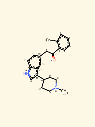 CC(C)c1ccccc1C(=O)Cc1ccc2[nH]cc(C3CCN(C)CC3)c2c1